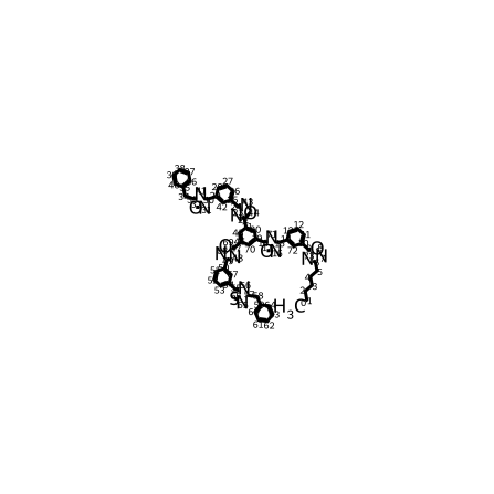 CCCCCCc1noc(-c2cccc(-c3noc(-c4cc(-c5nc(-c6cccc(-c7noc(Cc8ccccc8)n7)c6)no5)cc(-c5nc(-c6cccc(-c7nc(Cc8ccccc8)ns7)c6)no5)c4)n3)c2)n1